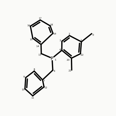 Cc1ccc(P(Cc2ccccc2)Cc2ccccc2)c(C)c1